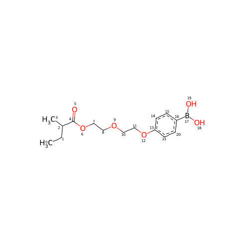 CCC(C)C(=O)OCCOCCOc1ccc(B(O)O)cc1